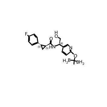 BC(B)(C)Oc1ccc([C@H](CO)NC(=O)[C@H]2C[C@@H]2c2ccc(F)cc2)cn1